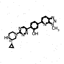 Cn1nnc2ccc(-c3ccc(-c4cnc(N5CCN[C@@H](C6CC6)C5)nn4)c(O)c3)nc21